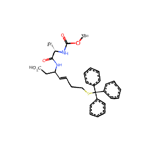 CC(C)[C@H](NC(=O)OC(C)(C)C)C(=O)NC(C=CCCSC(c1ccccc1)(c1ccccc1)c1ccccc1)CC(=O)O